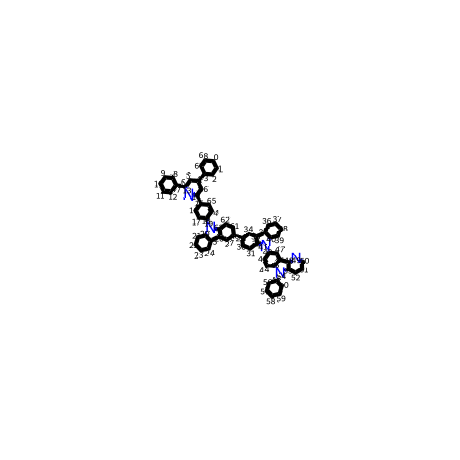 c1ccc(-c2cc(-c3ccccc3)nc(-c3ccc(-n4c5ccccc5c5cc(-c6ccc7c(c6)c6ccccc6n7-c6ccc7c(c6)c6ncccc6n7-c6ccccc6)ccc54)cc3)c2)cc1